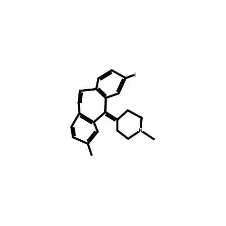 Cc1ccc2c(c1)C(=C1CCN(C)CC1)c1cc(I)ccc1C=C2